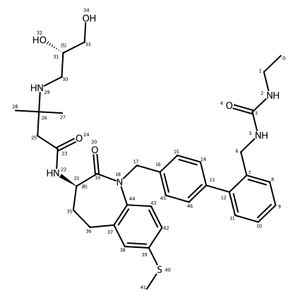 CCNC(=O)NCc1ccccc1-c1ccc(CN2C(=O)[C@H](NC(=O)CC(C)(C)NC[C@H](O)CO)CCc3cc(SC)ccc32)cc1